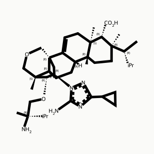 CC(C)[C@@H](C)[C@@]1(C)CC[C@]2(C)[C@H]3CC[C@@H]4[C@@]5(COC[C@@]4(C)[C@@H](OC[C@](C)(N)C(C)C)[C@H](n4nc(C6CC6)nc4N)C5)C3=CC[C@@]2(C)[C@@H]1C(=O)O